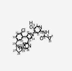 Cc1cnc(NC(=O)C2CC2)cc1-n1cc(-c2nc[nH]n2)c(-c2cc(CN3CCCC3)ccc2Cl)c1